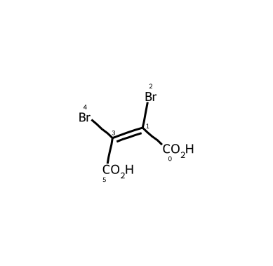 O=C(O)/C(Br)=C(/Br)C(=O)O